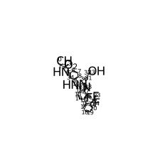 C=CC(=O)Nc1cccc(Nc2c3ccc(-c4ccccc4C(F)(F)F)cc3nn2CCCO)c1